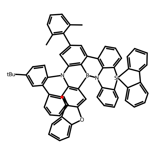 Cc1cccc(C)c1-c1cc2c3c(c1)N(c1ccc(C(C)(C)C)cc1-c1ccccc1)c1cc4c(cc1B3N1c3ccccc3[Si]3(c5ccccc5-c5ccccc53)c3cccc-2c31)oc1ccccc14